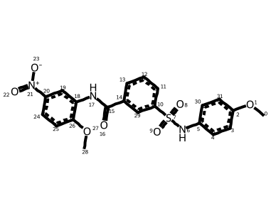 COc1ccc(NS(=O)(=O)c2cccc(C(=O)Nc3cc([N+](=O)[O-])ccc3OC)c2)cc1